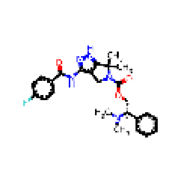 CN(C)[C@H](COC(=O)N1Cc2c(NC(=O)c3ccc(F)cc3)n[nH]c2C1(C)C)c1ccccc1